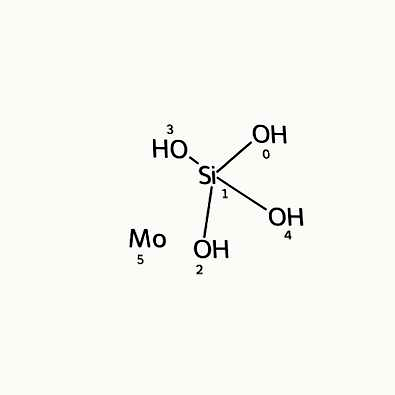 O[Si](O)(O)O.[Mo]